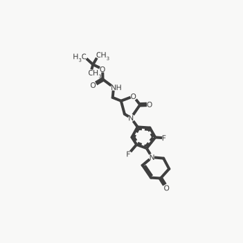 CC(C)(C)OC(=O)NCC1CN(c2cc(F)c(N3C=CC(=O)CC3)c(F)c2)C(=O)O1